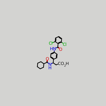 O=C(O)CC(NC(=O)C1CCCCC1)c1ccc(NC(=O)c2c(Cl)cccc2Cl)cc1